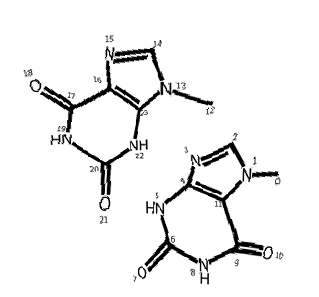 Cn1cnc2[nH]c(=O)[nH]c(=O)c21.Cn1cnc2c(=O)[nH]c(=O)[nH]c21